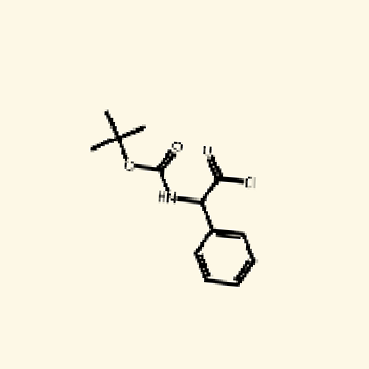 CC(C)(C)OC(=O)NC(C(=O)Cl)c1ccccc1